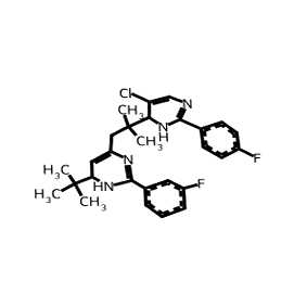 CC(C)(C)C1C=C(CC(C)(C)C2NC(c3ccc(F)cc3)=NC=C2Cl)N=C(c2cccc(F)c2)N1